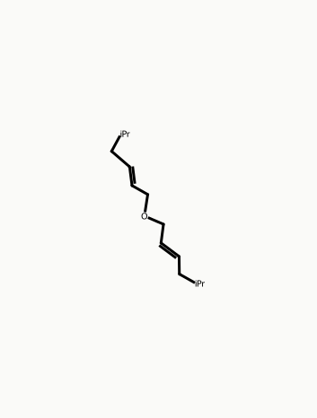 CC(C)CC=CCOCC=CCC(C)C